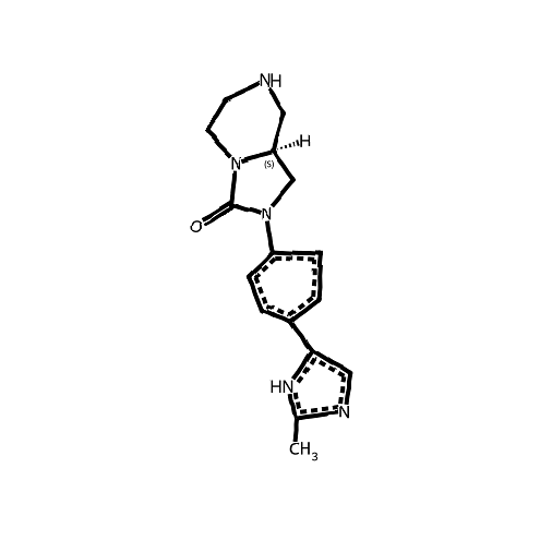 Cc1ncc(-c2ccc(N3C[C@@H]4CNCCN4C3=O)cc2)[nH]1